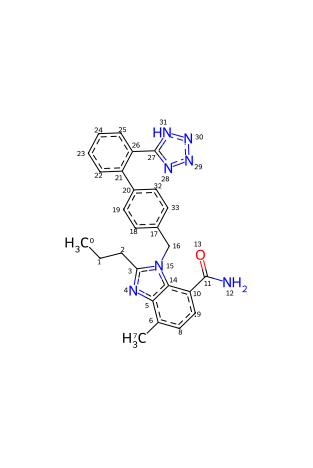 CCCc1nc2c(C)c[c]c(C(N)=O)c2n1Cc1ccc(-c2ccccc2-c2nnn[nH]2)cc1